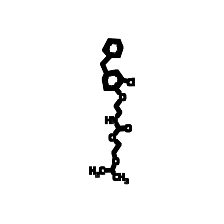 CC(C)OCCOC(=O)NCCOc1ccc(Cc2ccccc2)cc1Cl